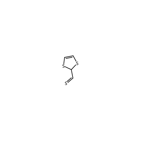 S=CC1SC=CS1